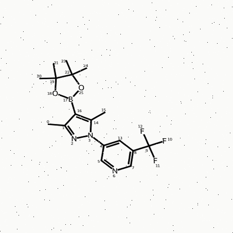 Cc1nn(-c2cncc(C(F)(F)F)c2)c(C)c1B1OC(C)(C)C(C)(C)O1